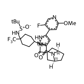 COc1cc(-c2cc(C(=O)N3[C@@H]4CC[C@H]3CC(C(=O)NC3CCC(N[S+]([O-])C(C)(C)C)(C(F)(F)F)CC3)C4)n[nH]2)c(F)cn1